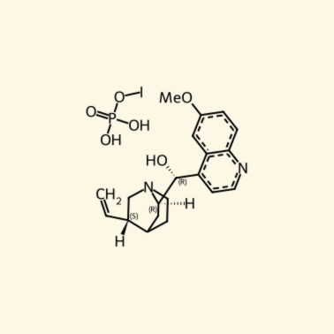 C=C[C@@H]1CN2CCC1C[C@@H]2[C@H](O)c1ccnc2ccc(OC)cc12.O=P(O)(O)OI